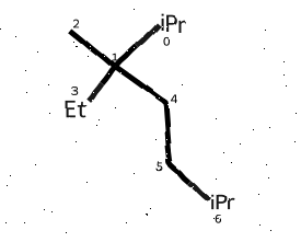 [CH2]C(C)C(C)(CC)CCC(C)C